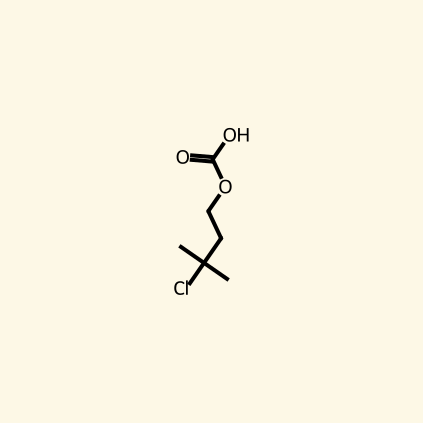 CC(C)(Cl)CCOC(=O)O